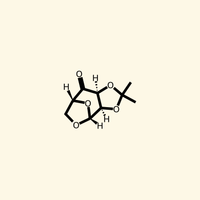 CC1(C)O[C@H]2[C@@H]3OC[C@@H](O3)C(=O)[C@H]2O1